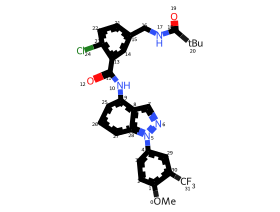 COc1ccc(-n2ncc3c(NC(=O)c4cc(CNC(=O)C(C)(C)C)ccc4Cl)cccc32)cc1C(F)(F)F